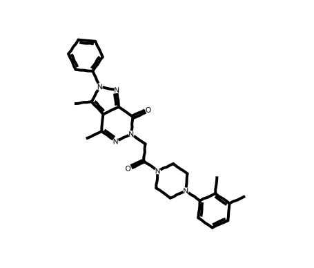 Cc1cccc(N2CCN(C(=O)Cn3nc(C)c4c(C)n(-c5ccccc5)nc4c3=O)CC2)c1C